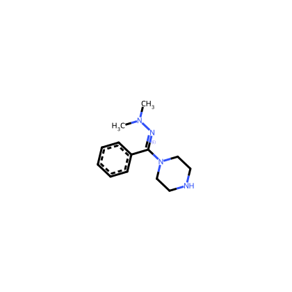 CN(C)/N=C(\c1ccccc1)N1CCNCC1